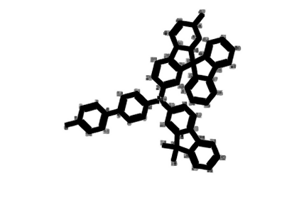 Cc1ccc(-c2ccc(N(c3ccc4c(c3)C(C)(C)c3ccccc3-4)c3ccc4c(c3)C3(c5ccccc5-c5ccccc53)C3CC(C)C=CC43)cc2)cc1